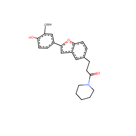 COc1cc(-c2cc3cc(CCC(=O)N4CCCCC4)ccc3o2)ccc1O